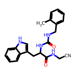 Cc1ccccc1CNC(=O)NC(Cc1c[nH]c2ccccc12)C(=O)NCC#N